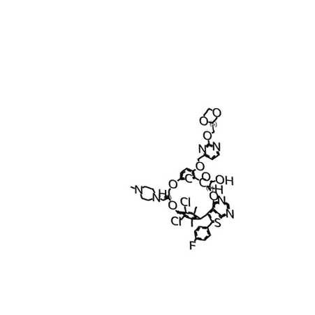 Cc1c(Cl)c2c(Cl)c(C)c1-c1c(-c3ccc(F)cc3)sc3ncnc(c13)O[C@@H](C(=O)O)Cc1cc(ccc1OCc1ccnc(OC[C@@H]3COCCO3)n1)OC[C@@H](CN1CCN(C)CC1)O2